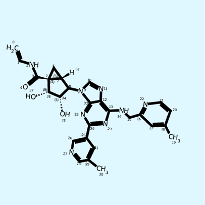 C=CNC(=O)[C@@]12C[C@@H]1C(n1cnc3c(NCc4cc(C)ccn4)nc(-c4cncc(C)c4)nc31)[C@H](O)[C@@H]2O